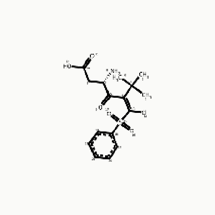 CC(C)(C)C(C(=O)[C@@H](N)CC(=O)O)=C(Cl)S(=O)(=O)c1ccccc1